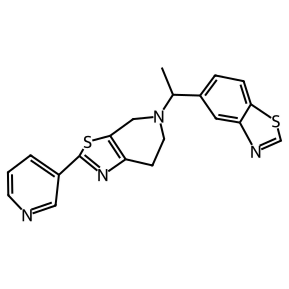 CC(c1ccc2scnc2c1)N1CCc2nc(-c3cccnc3)sc2C1